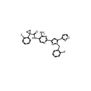 Nc1nc(-c2cc(-c3ccon3)n(Cc3ccccc3F)n2)ncc1NC(=O)C1(c2ccccc2F)CC1